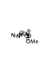 COc1ccc(S(=O)(=O)N2Cc3ccccc3C[C@H]2COCC(=O)N2CCN(CC3CCN(C)CC3)CC2)cc1